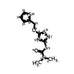 CN(C)C(=O)Sc1nsc(OCc2cccs2)n1